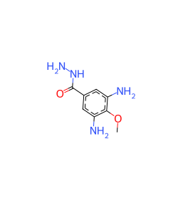 COc1c(N)cc(C(=O)NN)cc1N